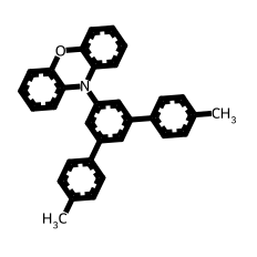 Cc1ccc(-c2cc(-c3ccc(C)cc3)cc(N3c4ccccc4Oc4ccccc43)c2)cc1